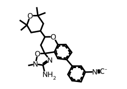 [C-]#[N+]c1cccc(-c2ccc3c(c2)C2(CC(C4CC(C)(C)OC(C)(C)C4)O3)N=C(N)N(C)O2)c1